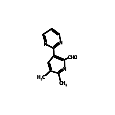 Cc1cc(-c2ncccn2)c(C=O)nc1C